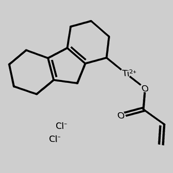 C=CC(=O)[O][Ti+2][CH]1CCCC2=C1CC1=C2CCCC1.[Cl-].[Cl-]